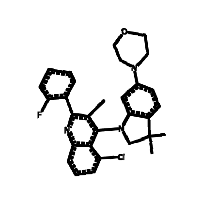 Cc1c(-c2ccccc2F)nc2cccc(Cl)c2c1N1CC(C)(C)c2ccc(N3CCOCC3)cc21